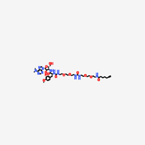 C#CCCCCC(=O)NCCOCCOCCNC(=O)NCCOCCOCCNC(=O)N[C@@H](Cc1ccc(OC)cc1)C(=O)N[C@H]1[C@@H](O)[C@H](n2cnc3c(N(C)C)ncnc32)O[C@@H]1CO